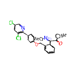 CO/N=C(/C(=O)OC)c1ccccc1COc1ccc(-c2ncc(Cl)cc2Cl)cc1